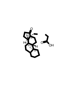 CCC(=O)O.CC[C@]12CC[C@H]3[C@@H](CCC4CCCC[C@@]43C)[C@@H]1CCC2=O